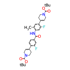 Cc1cc(C2=CCN(C(=O)OC(C)(C)C)CC2)c(F)cc1NC(=O)c1ccc(C2=CCN(C(=O)OC(C)(C)C)CC2)c(F)c1